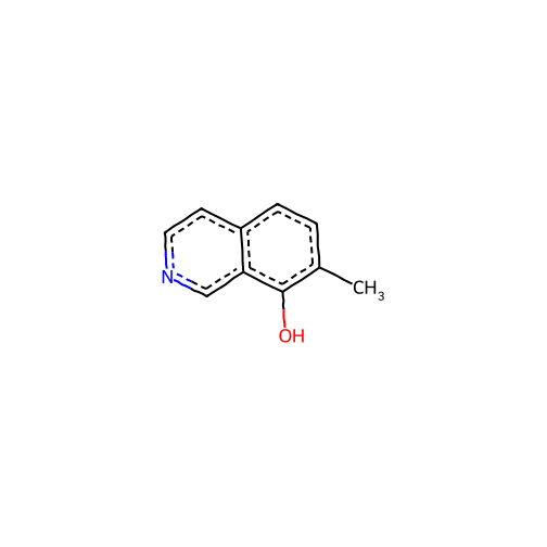 Cc1ccc2ccncc2c1O